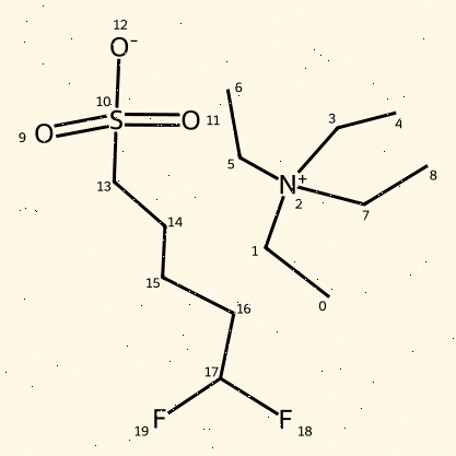 CC[N+](CC)(CC)CC.O=S(=O)([O-])CCCCC(F)F